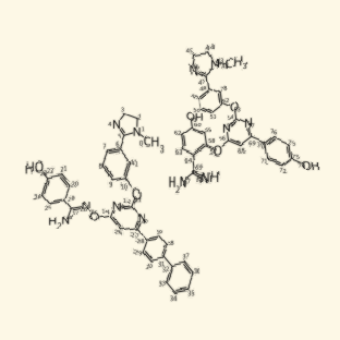 CN1CCN=C1c1cccc(Oc2nc(ON=C(N)c3ccc(O)cc3)cc(-c3ccc(-c4ccccc4)cc3)n2)c1.CN1CCN=C1c1cccc(Oc2nc(Oc3cc(O)ccc3C(=N)N)cc(-c3ccc(O)cc3)n2)c1